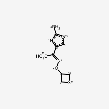 Nc1nc(C(=NOC2CSC2)C(=O)O)cs1